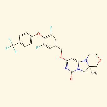 C[C@@]12COCCN1c1cc(OCc3cc(F)c(Oc4ccc(C(F)(F)F)cc4)c(F)c3)nc(=O)n1C2